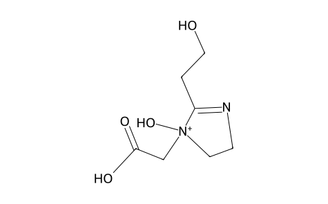 O=C(O)C[N+]1(O)CCN=C1CCO